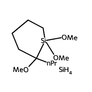 CCCC1(OC)CCCC[Si]1(OC)OC.[SiH4]